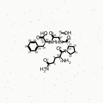 NC(=O)CC[C@H](N)C(=O)N1CCC[C@H]1C(=O)N[C@@H](CO)C(=O)N[C@@H](Cc1ccccc1)C(=O)O